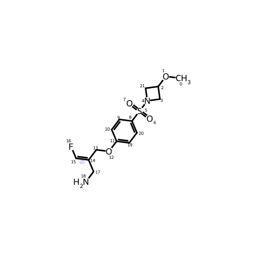 COC1CN(S(=O)(=O)c2ccc(OC/C(=C\F)CN)cc2)C1